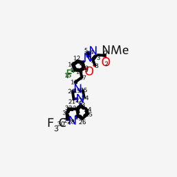 CNC(=O)c1ncn2c1COc1c-2ccc(F)c1CCN1CCN(c2cccc3nc(C(F)(F)F)ccc23)CC1